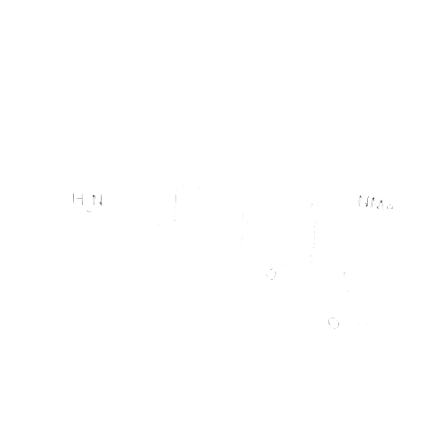 CN[C@@H](Cc1ccc(CN)cc1)C(=O)[C@@]1(C)CO1